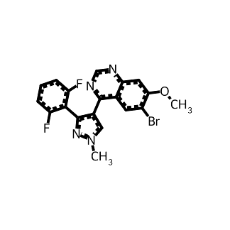 COc1cc2ncnc(-c3cn(C)nc3-c3c(F)cccc3F)c2cc1Br